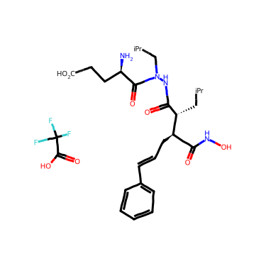 CC(C)C[C@@H](C(=O)NN(CC(C)C)C(=O)[C@H](N)CCC(=O)O)[C@H](CC=Cc1ccccc1)C(=O)NO.O=C(O)C(F)(F)F